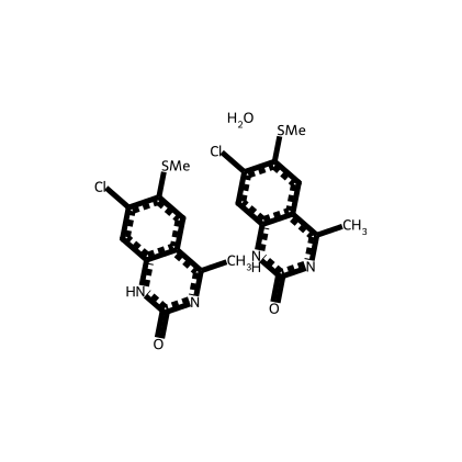 CSc1cc2c(C)nc(=O)[nH]c2cc1Cl.CSc1cc2c(C)nc(=O)[nH]c2cc1Cl.O